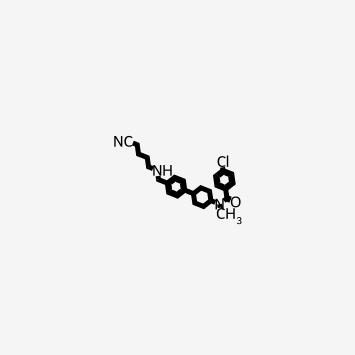 CN(C(=O)c1ccc(Cl)cc1)C1CCC(c2ccc(CNCCCCC#N)cc2)CC1